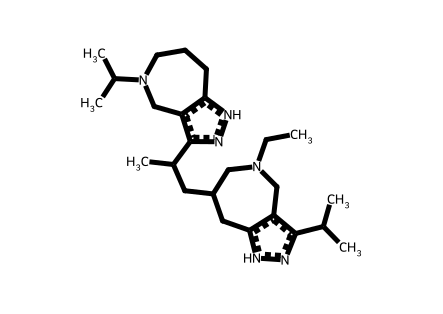 CCN1Cc2c(C(C)C)n[nH]c2CC(CC(C)c2n[nH]c3c2CN(C(C)C)CCC3)C1